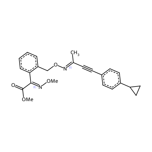 CO/N=C(/C(=O)OC)c1ccccc1CO/N=C(\C)C#Cc1ccc(C2CC2)cc1